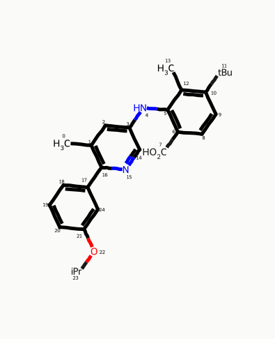 Cc1cc(Nc2c(C(=O)O)ccc(C(C)(C)C)c2C)cnc1-c1cccc(OC(C)C)c1